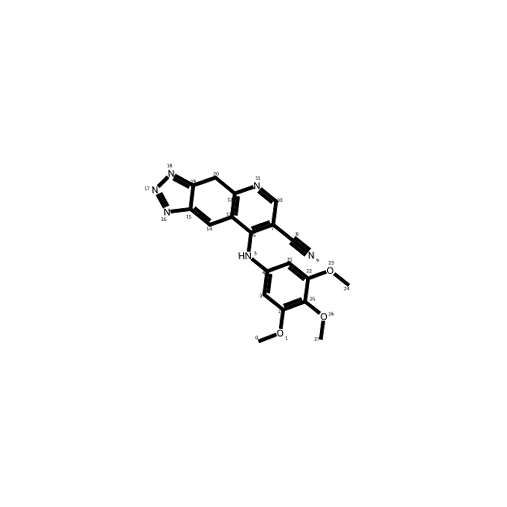 COc1cc(Nc2c(C#N)cnc3c2C=C2N=NN=C2C3)cc(OC)c1OC